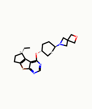 CC[C@H]1CCc2sc3ncnc(O[C@H]4CC[C@H](N5CC6(COC6)C5)CC4)c3c21